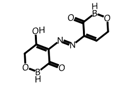 O=C1BOCC=C1N=NC1=C(O)COBC1=O